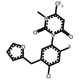 Cn1c(C(F)(F)F)cc(=O)n(-c2cc(Cc3ccco3)c(Cl)cc2F)c1=O